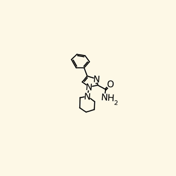 NC(=O)c1nc(-c2ccccc2)cn1N1CCCCC1